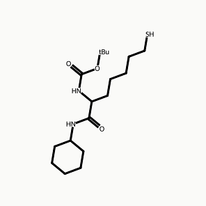 CC(C)(C)OC(=O)NC(CCCCCS)C(=O)NC1CCCCC1